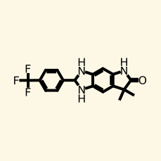 CC1(C)C(=O)Nc2cc3c(cc21)NC(c1ccc(C(F)(F)F)cc1)N3